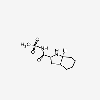 CS(=O)(=O)NC(=O)C1CC2CCCC[C@@H]2N1